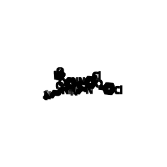 CN(C)C/C=C/C(=O)Nc1c(OC2CCOC2)ccc2c(Nc3ccc(OCc4ccc(Cl)cc4)c(Cl)c3)c(C#N)cnc12